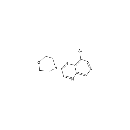 CC(=O)c1cncc2ncc(N3CCOCC3)nc12